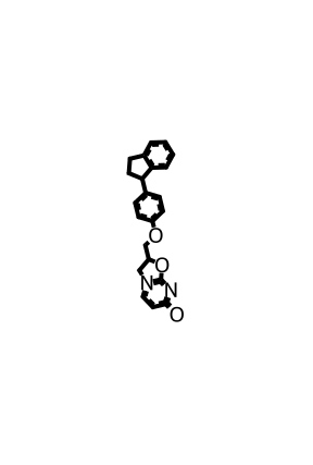 O=c1ccn2c(n1)OC(COc1ccc(C3CCc4ccccc43)cc1)C2